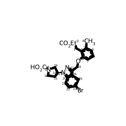 CCOC(=O)Cc1c(C)cccc1OCc1nn([C@H]2CCN(C(=O)O)C2)c2ccc(Br)cc12